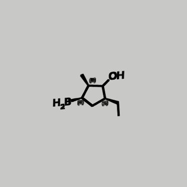 B[C@@H]1C[C@H](CC)C(O)[C@@H]1C